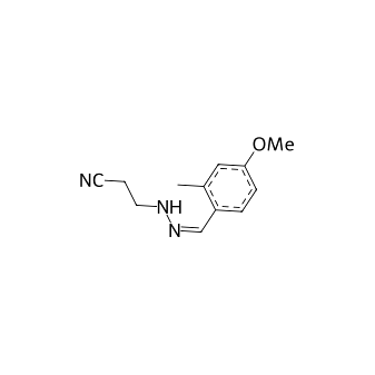 COc1ccc(/C=N\NCCC#N)c(C)c1